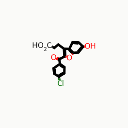 O=C(O)CCc1c(C(=O)c2ccc(Cl)cc2)oc2cc(O)ccc12